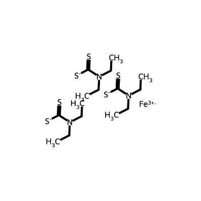 CCN(CC)C(=S)[S-].CCN(CC)C(=S)[S-].CCN(CC)C(=S)[S-].[Fe+3]